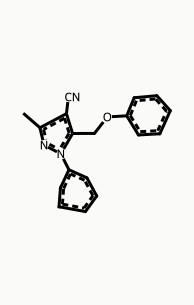 Cc1nn(-c2ccccc2)c(COc2ccccc2)c1C#N